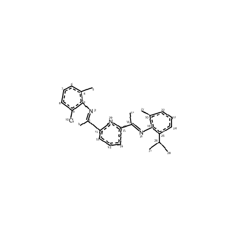 C/C(=N\c1c(C)cccc1Cl)c1cccc(/C(C)=N/c2c(C)cccc2C(C)C)n1